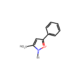 CCn1[o+]c(-c2ccccc2)cc1S(=O)(=O)O